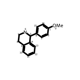 COc1ccc(C2[N]CCc3ccccc32)cc1